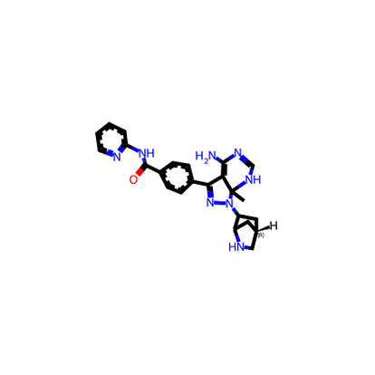 CC12NC=NC(N)=C1C(c1ccc(C(=O)Nc3ccccn3)cc1)=NN2C1C[C@@H]2CNC1C2